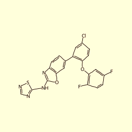 Fc1ccc(F)c(Oc2ccc(Cl)cc2-c2ccc3nc(Nc4ncns4)oc3c2)c1